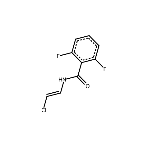 O=C(NC=CCl)c1c(F)cccc1F